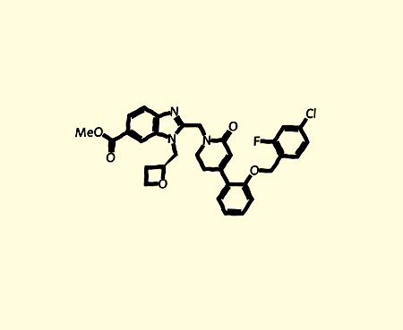 COC(=O)c1ccc2nc(CN3CCC(c4ccccc4OCc4ccc(Cl)cc4F)=CC3=O)n(C[C@@H]3CCO3)c2c1